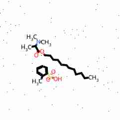 CCCCCCCCCCCCOC(=O)C(C)N(C)C.Cc1ccccc1S(=O)(=O)O